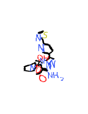 CC(=O)c1c(C2CC3CCC(C2)N3C(=O)C(C)(C)O)nc2c(-c3ccc(-c4nccs4)nc3)cnn2c1N